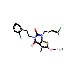 Cc1c(OC(=O)O)sc2c1c(=O)n(CCc1ccccc1F)c(=O)n2CCC=C(F)F